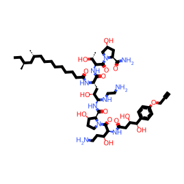 C#CCOc1ccc([C@H](O)[C@@H](O)CC(=O)N[C@H](C(=O)N2CC[C@H](O)[C@H]2C(=O)N[C@H](NCCN)[C@H](O)C[C@H](NC(=O)CCCCCCCC[C@@H](C)C[C@@H](C)CC)C(=O)N[C@H](C(=O)N2C[C@H](O)C[C@H]2C(N)=O)[C@@H](C)O)[C@H](O)CCN)cc1